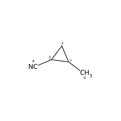 CC1C[C]1C#N